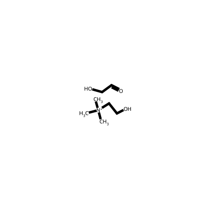 C[N+](C)(C)CCO.O=CCO